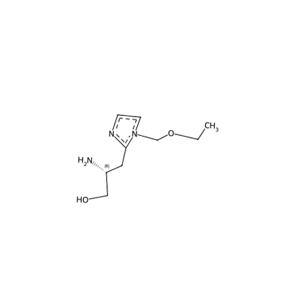 CCOCn1ccnc1C[C@@H](N)CO